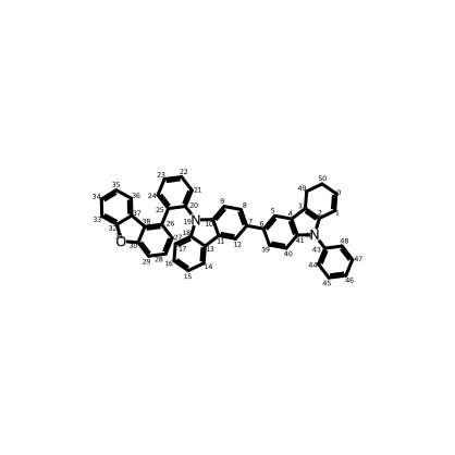 C1=Cc2c(c3cc(-c4ccc5c(c4)c4ccccc4n5-c4ccccc4-c4cccc5oc6ccccc6c45)ccc3n2-c2ccccc2)CC1